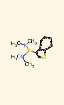 CN(C)P(c1csc2ccccc12)N(C)C